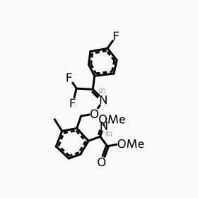 CO/N=C(/C(=O)OC)c1cccc(C)c1CO/N=C(/c1ccc(F)cc1)C(F)F